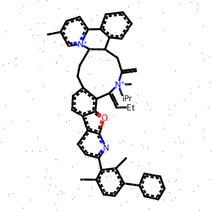 C=C1CC2c3ccccc3-c3ccc(C)c[n+]3C2CCc2ccc3c(oc4nc(-c5c(C)ccc(-c6ccccc6)c5C)ccc43)c2/C(=C/CC)[N+]1(C)C(C)C